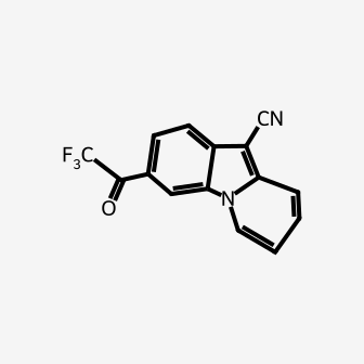 N#Cc1c2ccc(C(=O)C(F)(F)F)cc2n2ccccc12